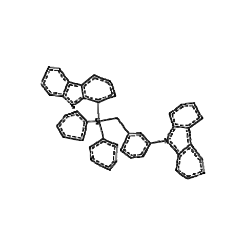 c1ccc([Si](Cc2cccc(-n3c4ccccc4c4ccccc43)c2)(c2ccccc2)c2cccc3c2sc2ccccc23)cc1